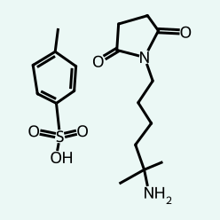 CC(C)(N)CCCCN1C(=O)CCC1=O.Cc1ccc(S(=O)(=O)O)cc1